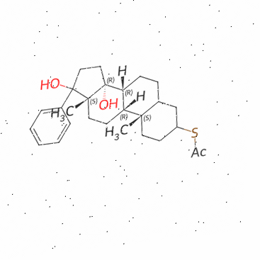 CC(=O)SC1CC[C@@]2(C)C(CC[C@@H]3[C@H]2CC[C@]2(C)C(O)(c4ccccc4)CC[C@@]32O)C1